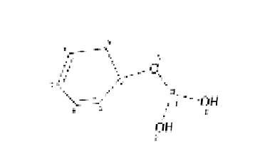 OP(O)OC1C=CC=CC1